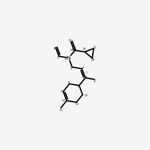 C=CN(C/C=C(/C)C1CC=C(C)CC1)C(=C)C1CC1